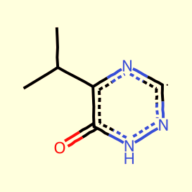 CC(C)c1n[c]n[nH]c1=O